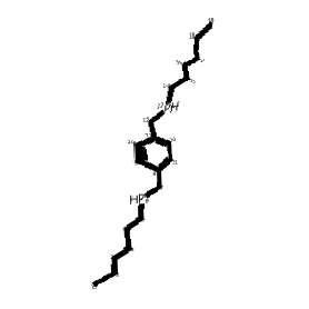 CCCCCCPCc1ccc(CPCCCCCC)cc1